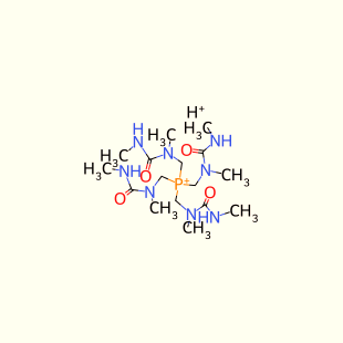 CNC(=O)N(C)C[P+](CN(C)C(=O)NC)(CN(C)C(=O)NC)CN(C)C(=O)NC.[H+]